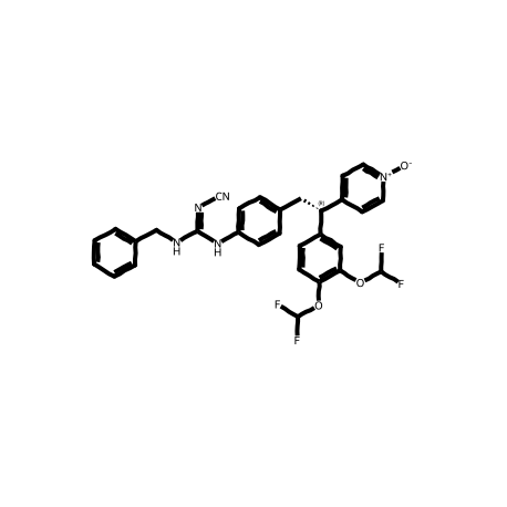 N#CN=C(NCc1ccccc1)Nc1ccc(C[C@H](c2cc[n+]([O-])cc2)c2ccc(OC(F)F)c(OC(F)F)c2)cc1